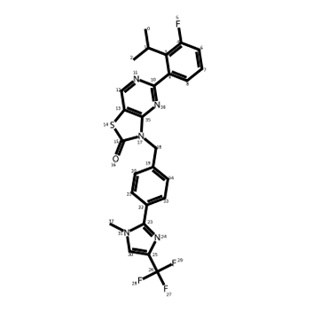 CC(C)c1c(F)cccc1-c1ncc2sc(=O)n(Cc3ccc(-c4nc(C(F)(F)F)cn4C)cc3)c2n1